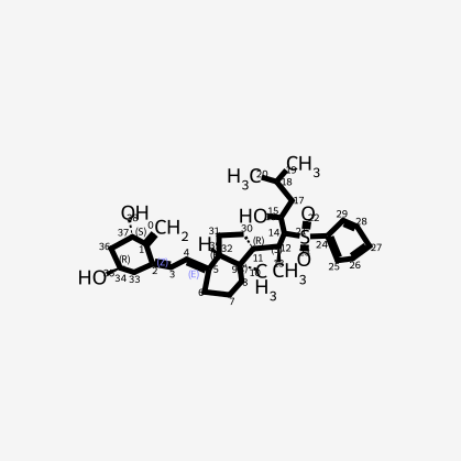 C=C1/C(=C\C=C2/CCC[C@]3(C)[C@@H]([C@H](C)C(C(O)CC(C)C)S(=O)(=O)c4ccccc4)CC[C@@H]23)C[C@@H](O)C[C@@H]1O